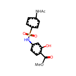 COC(=O)c1ccc(NS(=O)(=O)c2ccc(NC(C)=O)cc2)cc1O